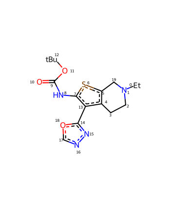 CCN1CCc2c(sc(NC(=O)OC(C)(C)C)c2-c2nnco2)C1